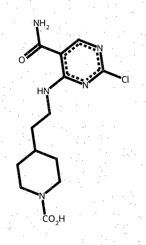 NC(=O)c1cnc(Cl)nc1NCCC1CCN(C(=O)O)CC1